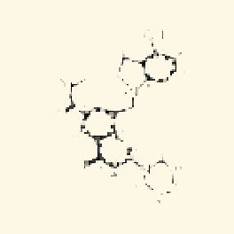 CN(C)C(=O)c1cc(CN2CCc3c(O)cccc32)c2oc(N3CCOCC3)cc(=O)c2c1